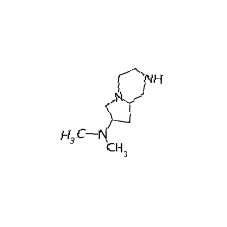 CN(C)C1CC2CNCCN2C1